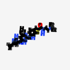 CCN(CC)CCNC(=O)C1Cc2ccc(Nc3nc(C)cc(Nc4cc(C5CC5)n[nH]4)n3)cc2S1